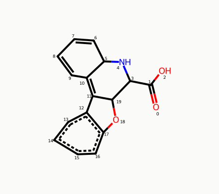 O=C(O)C1NC2C=CC=CC2=C2c3ccccc3OC21